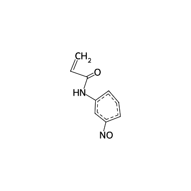 C=CC(=O)Nc1cccc(N=O)c1